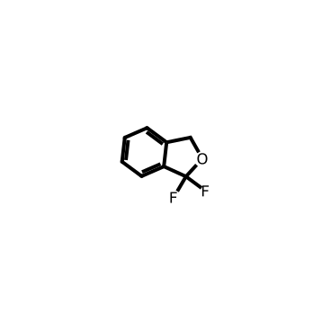 FC1(F)OCc2ccccc21